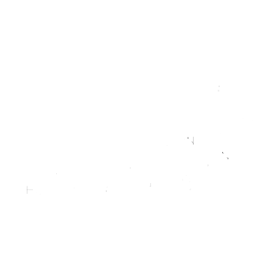 OCCCCCCC1Cn2c(nc3ccccc32)O1